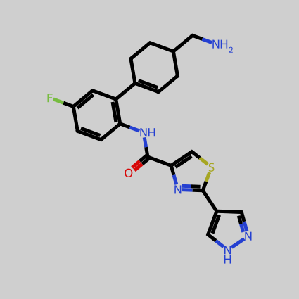 NCC1CC=C(c2cc(F)ccc2NC(=O)c2csc(-c3cn[nH]c3)n2)CC1